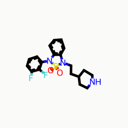 O=S1(=O)N(CCC2CCNCC2)c2ccccc2N1c1cccc(F)c1F